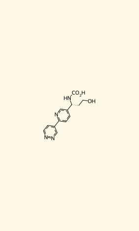 O=C(O)N[C@H](CCO)c1ccc(-c2ccnnc2)nc1